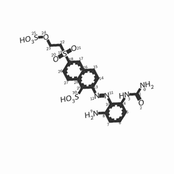 NC(=O)Nc1cccc(N)c1/N=N/c1ccc2cc(S(=O)(=O)CCOS(=O)(=O)O)ccc2c1S(=O)(=O)O